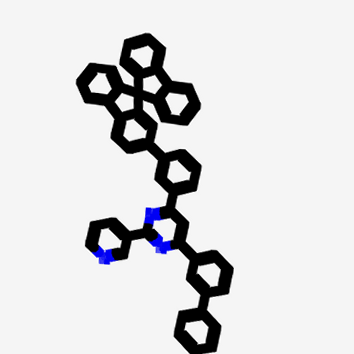 c1ccc(-c2cccc(-c3cc(-c4cccc(-c5ccc6c(c5)C5(c7ccccc7-c7ccccc75)c5ccccc5-6)c4)nc(-c4cccnc4)n3)c2)cc1